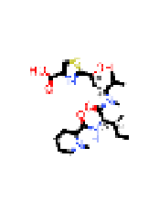 CC[C@H](C)[C@H](NC(=O)C1CCCCN1C)C(=O)N(C)[C@H](C[C@@H](O)c1nc(C(=O)O)cs1)C(C)C